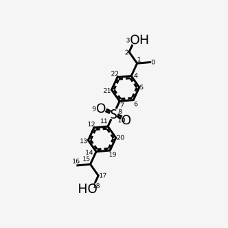 CC(CO)c1ccc(S(=O)(=O)c2ccc(C(C)CO)cc2)cc1